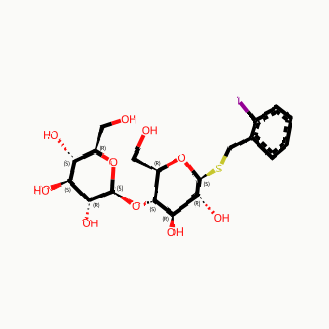 OC[C@H]1O[C@@H](O[C@H]2[C@H](O)[C@@H](O)[C@H](SCc3ccccc3I)O[C@@H]2CO)[C@H](O)[C@@H](O)[C@@H]1O